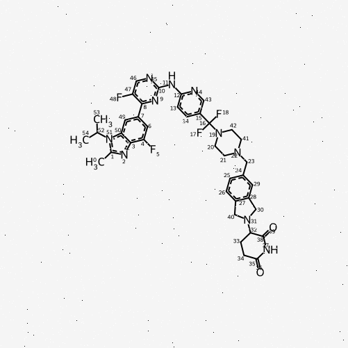 Cc1nc2c(F)cc(-c3nc(Nc4ccc(C(F)(F)N5CCN(Cc6ccc7c(c6)CN(C6CCC(=O)NC6=O)C7)CC5)cn4)ncc3F)cc2n1C(C)C